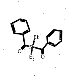 CC[Si](CC)(C(=O)c1ccccc1)C(=O)c1ccccc1